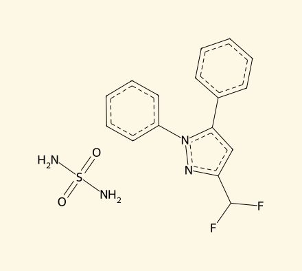 FC(F)c1cc(-c2ccccc2)n(-c2ccccc2)n1.NS(N)(=O)=O